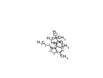 CCCN1CCc2c(C)cc(C)c(NC(=O)C(C)(C)C)c21